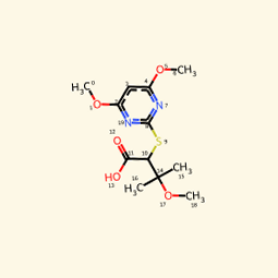 COc1cc(OC)nc(SC(C(=O)O)C(C)(C)OC)n1